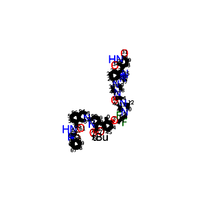 Cc1c(OCC(F)(F)CN2C[C@@H](C)N(CC(=O)N3CCN(c4cccc5c(C6CCC(=O)NC6=O)nn(C)c45)CC3)[C@@H](C)C2)cccc1-c1ccc(N2CCc3cccc(C(=O)Nc4nc5ccccc5s4)c3C2)nc1C(=O)OC(C)(C)C